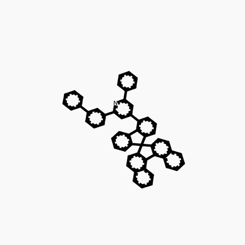 c1ccc(-c2cccc(-c3cc(-c4cccc5c4-c4ccccc4C54c5ccc6ccccc6c5-c5c4ccc4ccccc54)cc(-c4ccccc4)n3)c2)cc1